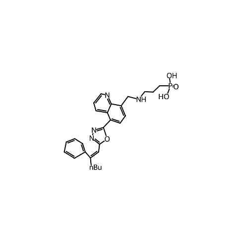 CCCCC(=Cc1nnc(-c2ccc(CNCCCP(=O)(O)O)c3ncccc23)o1)c1ccccc1